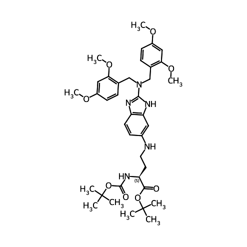 COc1ccc(CN(Cc2ccc(OC)cc2OC)c2nc3ccc(NCC[C@H](NC(=O)OC(C)(C)C)C(=O)OC(C)(C)C)cc3[nH]2)c(OC)c1